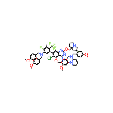 COc1ccc(CN(Cc2ccc(OC)cc2)c2cc(-c3c(Cl)c4c5c(nc(OC[C@@]67CCCN6C[C@H](F)C7)nc5c3F)N(CCN3C=CC=CC3N(Cc3ccc(OC)cc3)Cc3ccc(OC)cc3)CCO4)c(C(F)(F)F)c(C)c2F)cc1